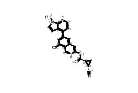 Cn1ccc2c(-c3cc(Cl)c4cnc(NC(=O)[C@H]5C[C@@H]5C#N)cc4c3)ccnc21